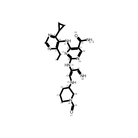 CCc1ncnc(C2CC2)c1Nc1nc(N/C(C=N)=C/NC2CCCN(C=O)C2)ncc1C(N)=O